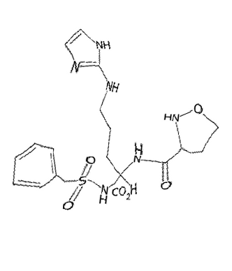 O=C(NC(CCCNc1ncc[nH]1)(NS(=O)(=O)c1ccccc1)C(=O)O)C1CCON1